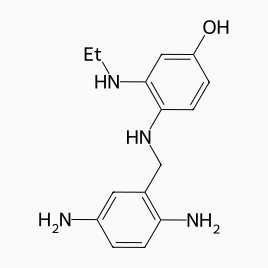 CCNc1cc(O)ccc1NCc1cc(N)ccc1N